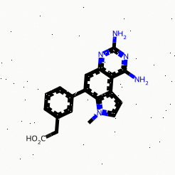 Cn1ccc2c3c(N)nc(N)nc3cc(-c3cccc(CC(=O)O)c3)c21